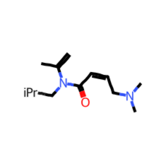 C=C(C)N(CC(C)C)C(=O)/C=C\CN(C)C